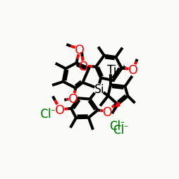 COc1cc([Si](c2cc(OC)c(C)c(C)c2OC)(c2cc(OC)c(C)c(C)c2OC)C2(C)C(C)=C(C)C(C)=[C]2[Ti+3])c(OC)c(C)c1C.[Cl-].[Cl-].[Cl-]